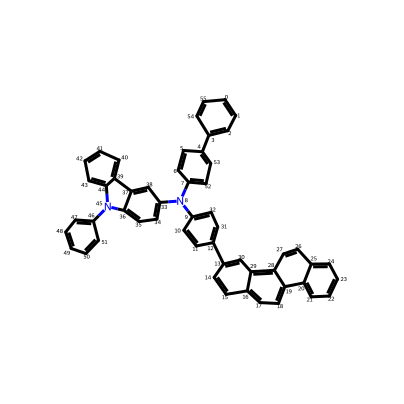 c1ccc(-c2ccc(N(c3ccc(-c4ccc5ccc6c7ccccc7ccc6c5c4)cc3)c3ccc4c(c3)c3ccccc3n4-c3ccccc3)cc2)cc1